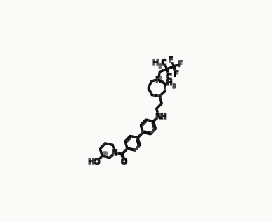 CC(C)(CN1CCCC(CCNc2ccc(-c3ccc(C(=O)N4CCC[C@H](O)C4)cc3)cc2)CC1)C(F)(F)F